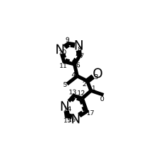 CC(C(=O)C(C)c1cncnc1)c1cncnc1